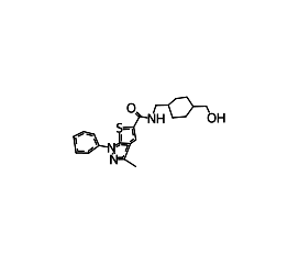 Cc1nn(-c2ccccc2)c2sc(C(=O)NCC3CCC(CO)CC3)cc12